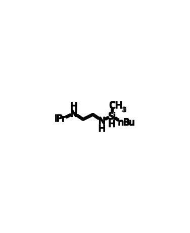 CCCC[SiH](C)NCCNC(C)C